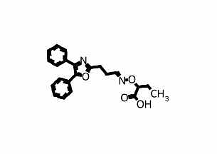 CCC(ON=CCCc1nc(-c2ccccc2)c(-c2ccccc2)o1)C(=O)O